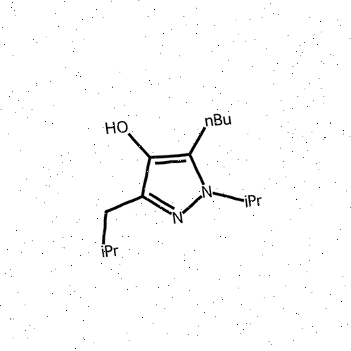 CCCCc1c(O)c(CC(C)C)nn1C(C)C